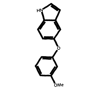 COc1cccc(Oc2ccc3[nH]ccc3c2)c1